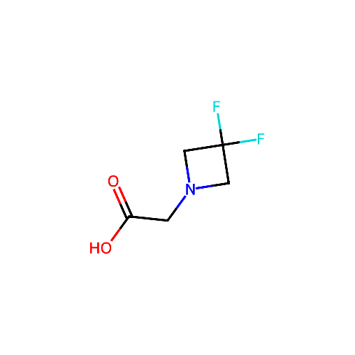 O=C(O)CN1CC(F)(F)C1